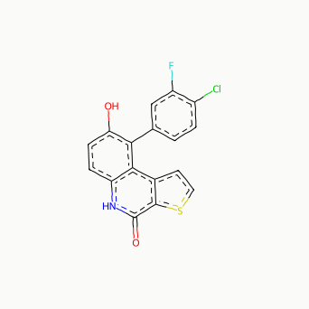 O=c1[nH]c2ccc(O)c(-c3ccc(Cl)c(F)c3)c2c2ccsc12